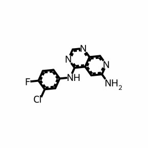 Nc1cc2c(Nc3ccc(F)c(Cl)c3)ncnc2cn1